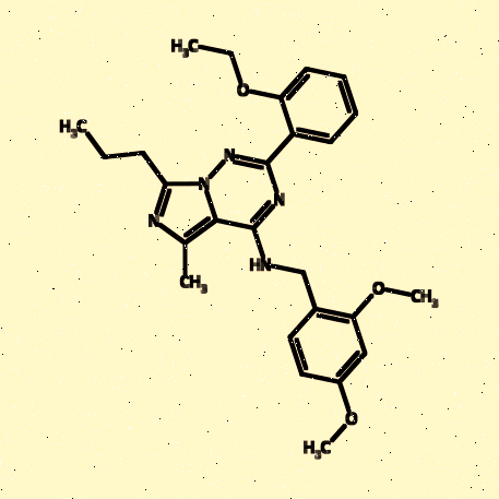 CCCc1nc(C)c2c(NCc3ccc(OC)cc3OC)nc(-c3ccccc3OCC)nn12